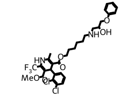 COC(=O)C1=C(C(F)(F)F)NC(C)=C(C(=O)OCCCCCCNCC(O)COc2ccccc2)C1c1cccc(Cl)c1Cl